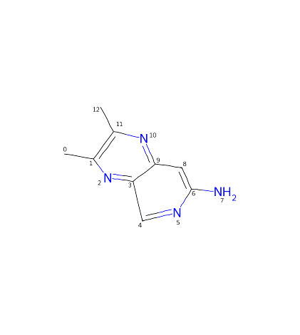 Cc1nc2cnc(N)cc2nc1C